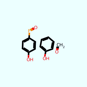 C=O.O=Pc1ccc(O)cc1.Oc1ccccc1